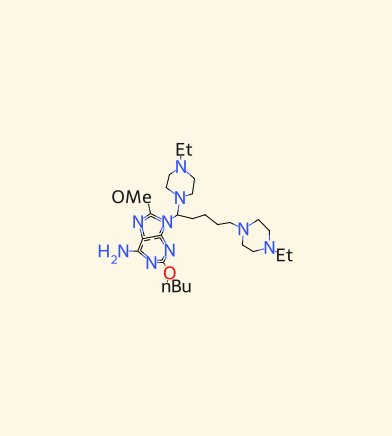 CCCCOc1nc(N)c2nc(OC)n(C(CCCCN3CCN(CC)CC3)N3CCN(CC)CC3)c2n1